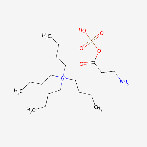 CCCC[N+](CCCC)(CCCC)CCCC.NCCC(=O)OS(=O)(=O)O